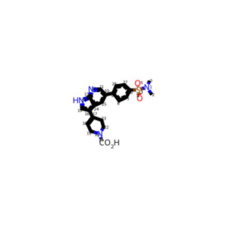 CN(C)S(=O)(=O)c1ccc(-c2cnc3[nH]cc(C4=CCN(C(=O)O)CC4)c3c2)cc1